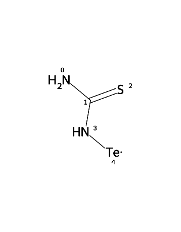 NC(=S)N[Te]